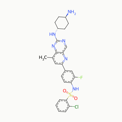 Cc1cc(-c2ccc(NS(=O)(=O)c3ccccc3Cl)c(F)c2)nc2cnc(N[C@H]3CC[C@H](N)CC3)nc12